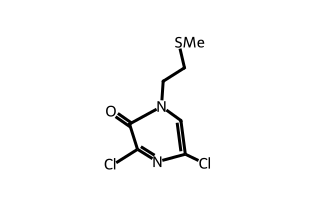 CSCCn1cc(Cl)nc(Cl)c1=O